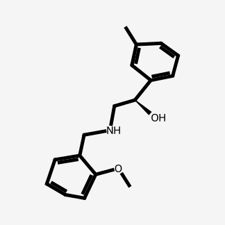 COc1ccccc1CNC[C@H](O)c1cccc(C)c1